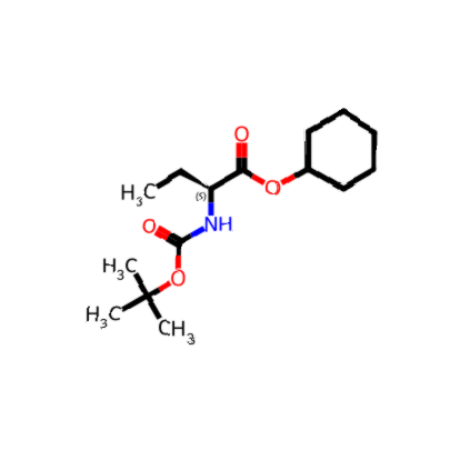 CC[C@H](NC(=O)OC(C)(C)C)C(=O)OC1CCCCC1